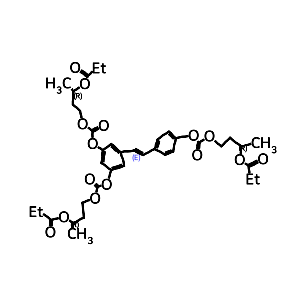 CCC(=O)O[C@H](C)CCOC(=O)Oc1ccc(/C=C/c2cc(OC(=O)OCC[C@@H](C)OC(=O)CC)cc(OC(=O)OCC[C@@H](C)OC(=O)CC)c2)cc1